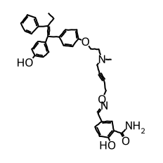 CC/C(=C(/c1ccc(O)cc1)c1ccc(OCCN(C)CC#CCO/N=C/c2ccc(O)c(C(N)=O)c2)cc1)c1ccccc1